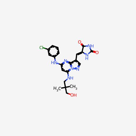 CC(C)(CO)CNc1cc(Nc2cccc(Cl)c2)nc2c(/C=C3\NC(=O)NC3=O)cnn12